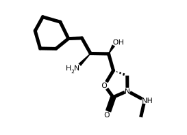 CNN1C[C@@H]([C@H](O)[C@@H](N)CC2CCCCC2)OC1=O